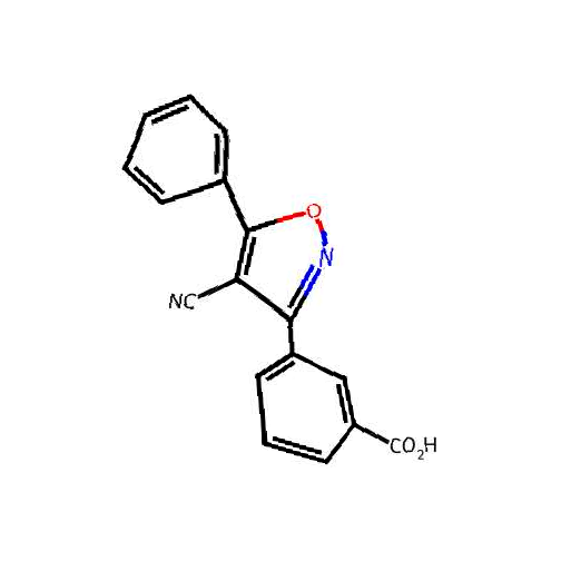 N#Cc1c(-c2cccc(C(=O)O)c2)noc1-c1ccccc1